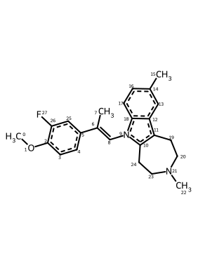 COc1ccc(C(C)=Cn2c3c(c4cc(C)ccc42)CCN(C)CC3)cc1F